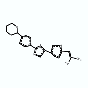 CC(C)=Cc1ccc(-c2cnc(-c3ccc(C4OCCCO4)cc3)s2)cn1